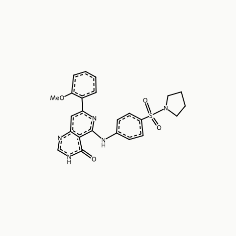 COc1ccccc1-c1cc2nc[nH]c(=O)c2c(Nc2ccc(S(=O)(=O)N3CCCC3)cc2)n1